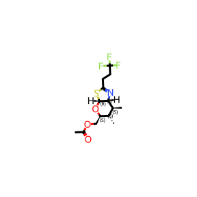 CC(=O)OC[C@H]1O[C@@H]2SC(CCC(F)(F)F)=N[C@@H]2[C@@H](C)[C@@H]1C